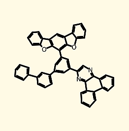 c1ccc(-c2cccc(-c3cc(-c4cnc5c6ccccc6c6ccccc6c5n4)cc(-c4c5oc6ccccc6c5cc5c4oc4ccccc45)c3)c2)cc1